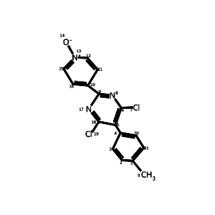 Cc1ccc(-c2c(Cl)nc(-c3cc[n+]([O-])cc3)nc2Cl)cc1